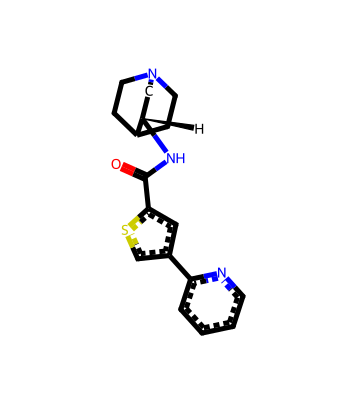 O=C(N[C@H]1CN2CCC1CC2)c1cc(-c2ccccn2)cs1